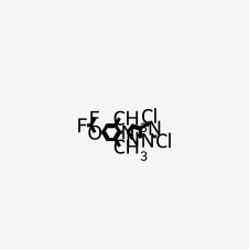 Cc1cc(OC(F)F)cc(C)c1-n1cc2c(Cl)nc(Cl)nc2n1